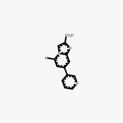 CCOC(=O)c1cn2c(Cl)cc(-c3cccnc3)cc2n1